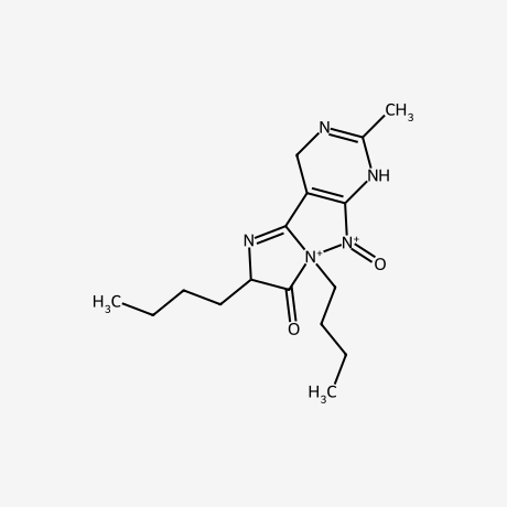 CCCCC1N=C2C3=C(NC(C)=NC3)[N+](=O)[N+]2(CCCC)C1=O